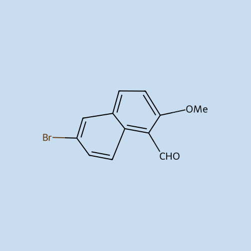 COc1ccc2cc(Br)ccc2c1C=O